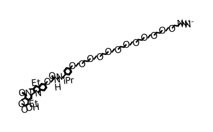 CCc1c2c(nc3ccc(OCC(=O)N/N=C(/c4ccc(OCCOCCOCCOCCOCCOCCOCCOCCOCCOCCOCCOCCN=[N+]=[N-])cc4)C(C)C)cc13)-c1cc3c(c(=O)n1C2)COC(=O)[C@]3(O)CC